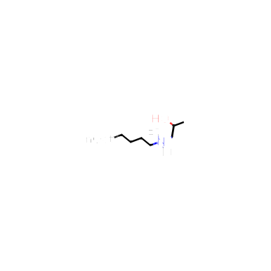 CCCCCCCCCCCC[N+](CC)(CC)CC(C)O